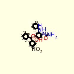 NC(=O)Nc1ccccc1Nc1ccccc1.O=C(c1ccccc1)c1ccc([N+](=O)[O-])cc1O